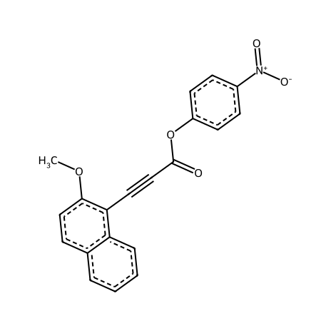 COc1ccc2ccccc2c1C#CC(=O)Oc1ccc([N+](=O)[O-])cc1